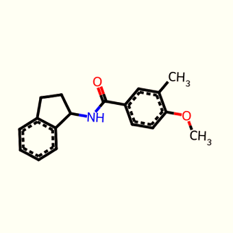 COc1ccc(C(=O)NC2CCc3ccccc32)cc1C